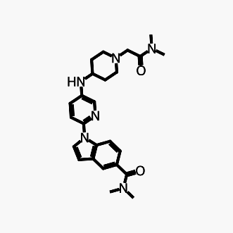 CN(C)C(=O)CN1CCC(Nc2ccc(-n3ccc4cc(C(=O)N(C)C)ccc43)nc2)CC1